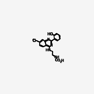 O=C(O)NCCNc1nc(-c2ccccc2O)nc2cc(Cl)ccc12